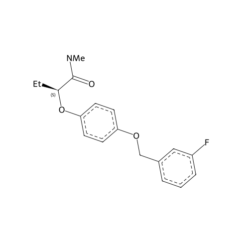 CC[C@H](Oc1ccc(OCc2cccc(F)c2)cc1)C(=O)NC